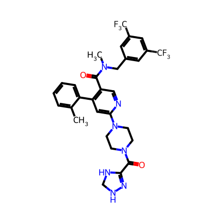 Cc1ccccc1-c1cc(N2CCN(C(=O)C3=NNCN3)CC2)ncc1C(=O)N(C)Cc1cc(C(F)(F)F)cc(C(F)(F)F)c1